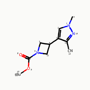 Cn1cc(C2CN(C(=O)OC(C)(C)C)C2)c(C#N)n1